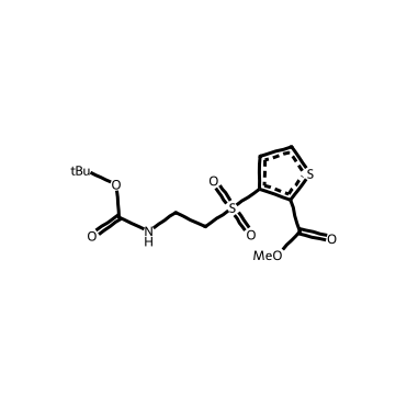 COC(=O)c1sccc1S(=O)(=O)CCNC(=O)OC(C)(C)C